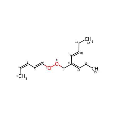 C/C=C\C=C\OOCC(/C=C/CC)=C/CC